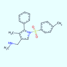 CNCc1cn(S(=O)(=O)c2ccc(C)cc2)c(-c2ccccc2)c1C